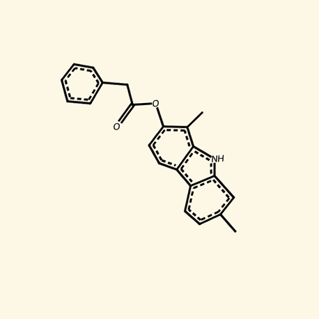 Cc1ccc2c(c1)[nH]c1c(C)c(OC(=O)Cc3ccccc3)ccc12